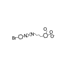 COC(=O)c1ccc(CCCCN2CC3(C2)CN(c2ccc(Br)cc2)C3)cc1C=O